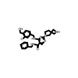 O=C(NCc1ccccc1)c1cnc(N2CCC3(CNC3)C2)nc1NCc1ccc(CO)c(Cl)c1